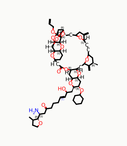 C=CCO[C@]12C[C@]34CCC5CC(=C)[C@H](CCC6C[C@@H](C)C(=C)C(C[C@@H]7O[C@H]8C[C@@H](OC9CCCCC9)[C@@H](CC(O)/C=C/CCCC(=O)C[C@H](N)[C@@H]9OCCC9C)O[C@H]8C[C@H]7OC(=O)C[C@H]7CC[C@@H]8O[C@H]([C@@H](O1)[C@@H](O3)[C@H]8O7)[C@H]2O4)O6)O5